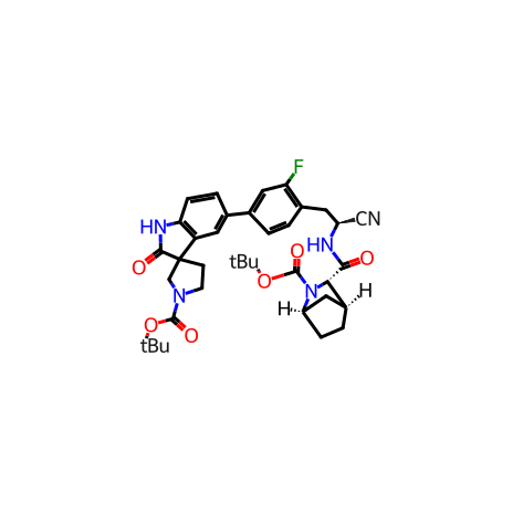 CC(C)(C)OC(=O)N1CCC2(C1)C(=O)Nc1ccc(-c3ccc(C[C@@H](C#N)NC(=O)[C@@H]4[C@H]5CC[C@H](C5)N4C(=O)OC(C)(C)C)c(F)c3)cc12